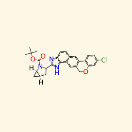 CC(C)(C)OC(=O)N1C(c2nc3ccc4cc5c(cc4c3[nH]2)COc2cc(Cl)ccc2-5)C[C@H]2C[C@H]21